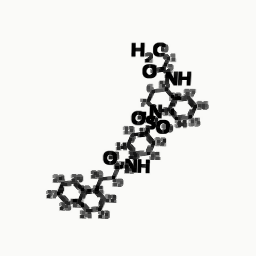 C=CC(=O)NC1CCN(S(=O)(=O)c2ccc(NC(=O)CCc3cccc4ccccc34)cc2)c2ccccc21